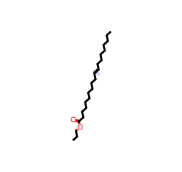 CCCCCCCC/C=C/CCCCCCCCCC(=O)OCCC